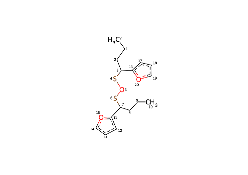 CCCC(SOSC(CCC)c1ccco1)c1ccco1